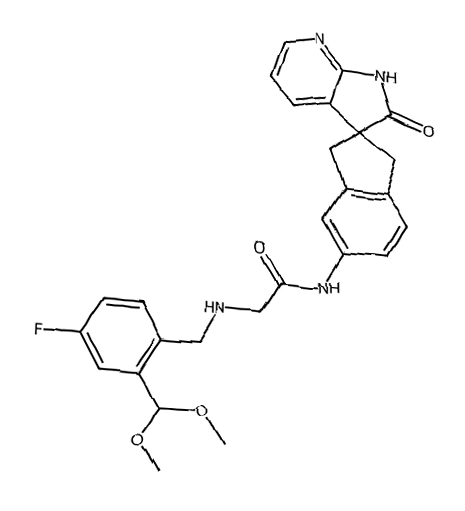 COC(OC)c1cc(F)ccc1CNCC(=O)Nc1ccc2c(c1)CC1(C2)C(=O)Nc2ncccc21